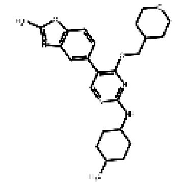 Cc1nc2cc(-c3cnc(NC4CCC(C)CC4)nc3OCC3CCOCC3)ccc2o1